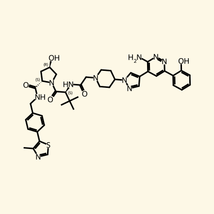 Cc1ncsc1-c1ccc(CNC(=O)[C@@H]2C[C@@H](O)CN2C(=O)[C@@H](NC(=O)CN2CCC(n3cc(-c4cc(-c5ccccc5O)nnc4N)cn3)CC2)C(C)(C)C)cc1